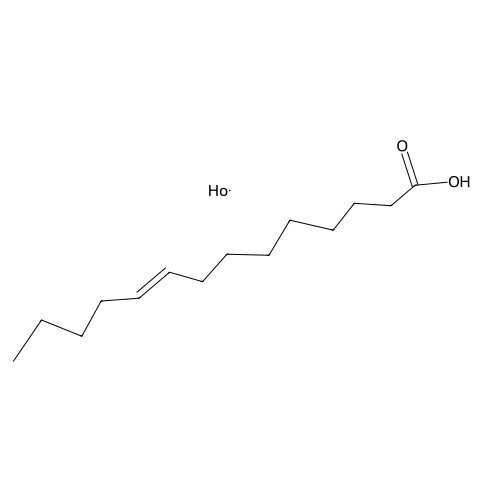 CCCCC=CCCCCCCCC(=O)O.[Ho]